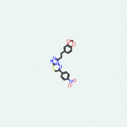 O=[N+]([O-])c1ccc(C2=Nn3c(CCc4ccc5c(c4)OCO5)nnc3SC2)cc1